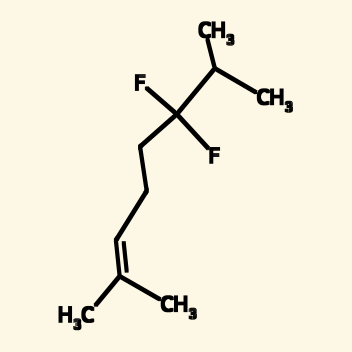 CC(C)=CCCC(F)(F)C(C)C